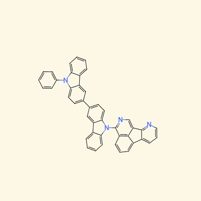 c1ccc(-n2c3ccccc3c3cc(-c4ccc5c(c4)c4ccccc4n5-c4ncc5c6c(cccc46)-c4cccnc4-5)ccc32)cc1